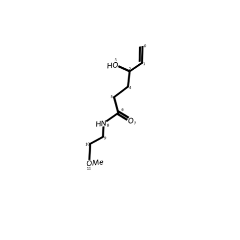 C=CC(O)CCC(=O)NCCOC